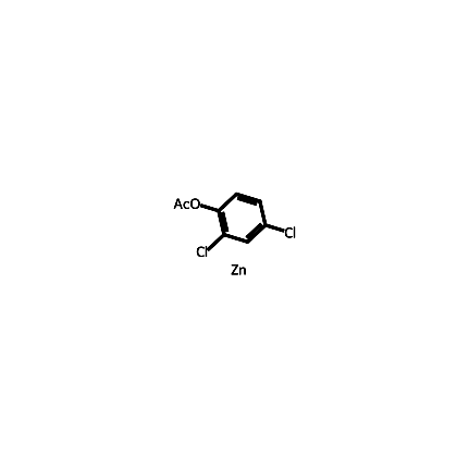 CC(=O)Oc1ccc(Cl)cc1Cl.[Zn]